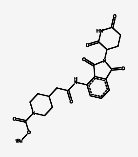 CC(C)(C)OC(=O)N1CCC(CC(=O)Nc2cccc3c2C(=O)N(C2CCC(=O)NC2=O)C3=O)CC1